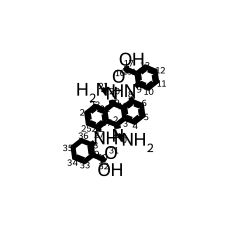 N/N=C1\c2cccc(Nc3ccccc3C(=O)O)c2/C(=N/N)c2cccc(NC3=C(C(=O)O)C=CCC3)c21